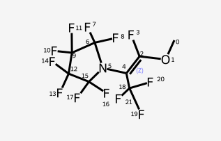 CO/C(F)=C(/N1C(F)(F)C(F)(F)C(F)(F)C1(F)F)C(F)(F)F